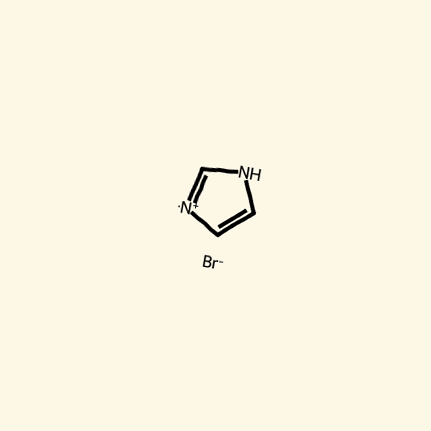 C1=CNC=[N+]1.[Br-]